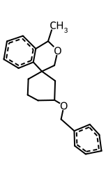 CC1OCC2(CCCC(OCc3ccccc3)C2)c2ccccc21